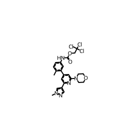 Cc1ccc(NC(=O)OCC(Cl)(Cl)Cl)cc1-c1cc(-c2cnn(C)c2)nc(N2CCOCC2)c1